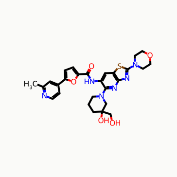 Cc1cc(-c2ccc(C(=O)Nc3cc4sc(N5CCOCC5)nc4nc3N3CCCC(O)(CO)C3)o2)ccn1